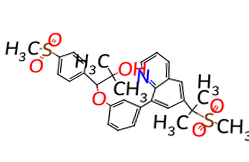 CC(C)(O)C(Oc1cccc(-c2cc(C(C)(C)S(C)(=O)=O)cc3cccnc23)c1)c1ccc(S(C)(=O)=O)cc1